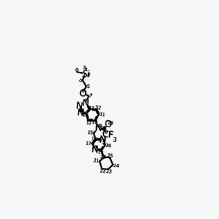 C[Si](C)(C)CCOCn1nnc2cc(N(Cc3cnc(C4CCCCC4)cn3)C(=O)C(F)(F)F)ccc21